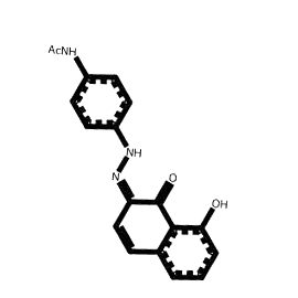 CC(=O)Nc1ccc(N/N=C2/C=Cc3cccc(O)c3C2=O)cc1